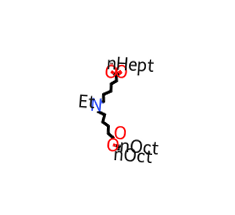 CCCCCCCCC(CCCCCCCC)OC(=O)CCCCCN(CC)CCCCCC(=O)OCCCCCCC